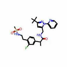 CC(C(=O)NCc1cc(C(C)(C)C)nn1-c1ccccn1)c1ccc(CCNS(C)(=O)=O)c(F)c1